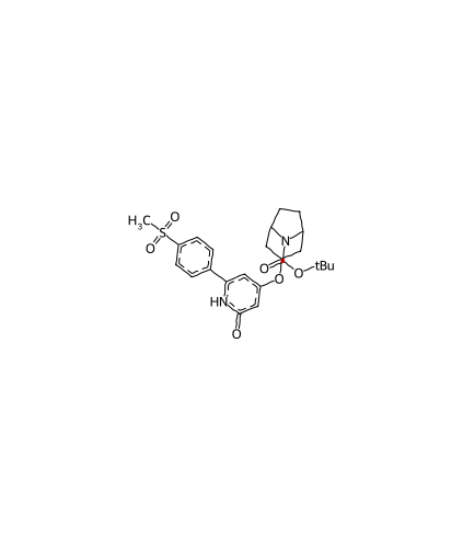 CC(C)(C)OC(=O)N1C2CCC1CC(Oc1cc(-c3ccc(S(C)(=O)=O)cc3)[nH]c(=O)c1)C2